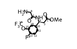 COC(=O)C[C@H](NC(=O)CN)c1ccc(F)c(OC(F)(F)F)c1